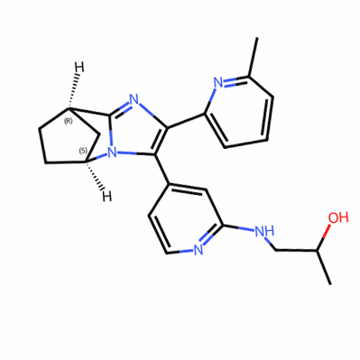 Cc1cccc(-c2nc3n(c2-c2ccnc(NCC(C)O)c2)[C@H]2CC[C@@H]3C2)n1